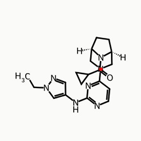 CCn1cc(Nc2nccc(N3C[C@H]4CC[C@@H](C3)N4C(=O)C3CC3)n2)cn1